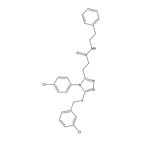 O=C(CCc1nnc(SCc2cccc(Cl)c2)n1-c1ccc(Cl)cc1)NCCc1ccccc1